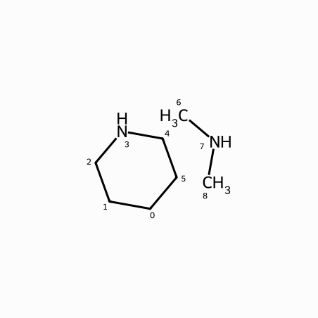 C1CCNCC1.CNC